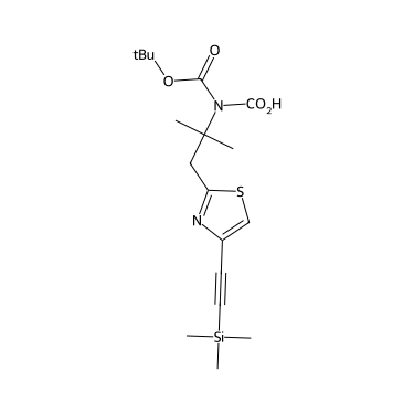 CC(C)(C)OC(=O)N(C(=O)O)C(C)(C)Cc1nc(C#C[Si](C)(C)C)cs1